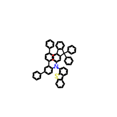 c1ccc(-c2ccc(-c3cc(-c4ccccc4)ccc3N(c3ccc4c(c3)C(c3ccccc3)(c3ccccc3)c3ccccc3-4)c3cccc4c3sc3ccccc34)cc2)cc1